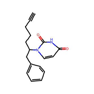 C#CCCCC(Cc1ccccc1)n1ccc(=O)[nH]c1=O